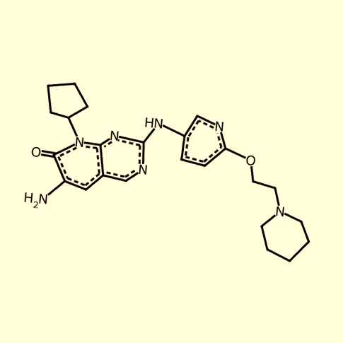 Nc1cc2cnc(Nc3ccc(OCCN4CCCCC4)nc3)nc2n(C2CCCC2)c1=O